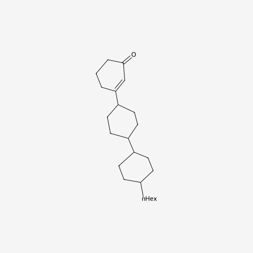 CCCCCCC1CCC(C2CCC(C3=CC(=O)CCC3)CC2)CC1